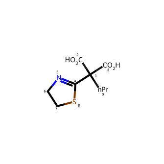 CCCC(C(=O)O)(C(=O)O)C1=NCCS1